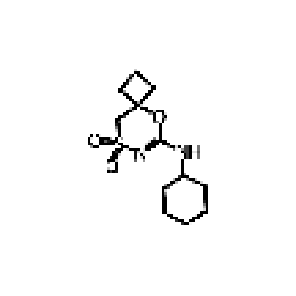 O=S1(=O)CC2(CCC2)OC(NC2CCCCC2)=N1